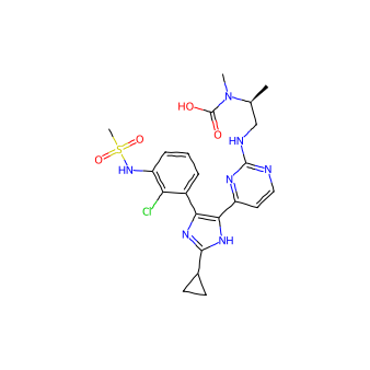 C[C@@H](CNc1nccc(-c2[nH]c(C3CC3)nc2-c2cccc(NS(C)(=O)=O)c2Cl)n1)N(C)C(=O)O